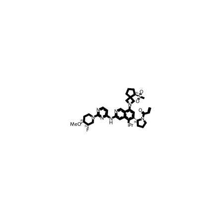 C=CC(=O)N1CCC[C@@H]1c1cc(N2CC3(CCC[C@H]3S(C)(=O)=O)C2)c2cnc(Nc3ccnc(N4CC[C@@H](OC)[C@@H](F)C4)n3)cc2c1C(C)C